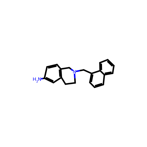 Nc1ccc2c(c1)CCN(Cc1cccc3ccccc13)C2